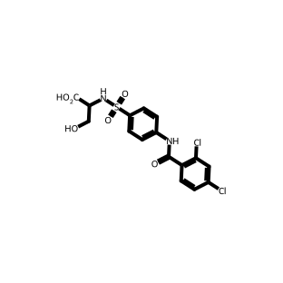 O=C(Nc1ccc(S(=O)(=O)NC(CO)C(=O)O)cc1)c1ccc(Cl)cc1Cl